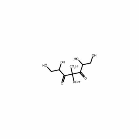 CCCCCCCCC(C(=O)O)(C(=O)C(O)CO)C(=O)C(O)CO